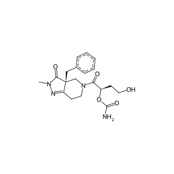 CN1N=C2CCN(C(=O)[C@@H](CCO)OC(N)=O)C[C@@]2(Cc2ccccc2)C1=O